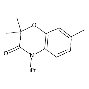 Cc1ccc2c(c1)OC(C)(C)C(=O)N2C(C)C